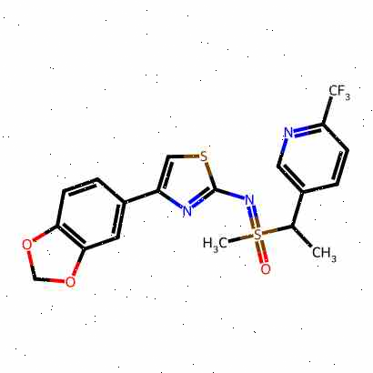 CC(c1ccc(C(F)(F)F)nc1)S(C)(=O)=Nc1nc(-c2ccc3c(c2)OCO3)cs1